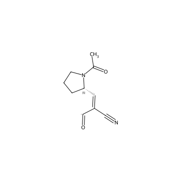 CC(=O)N1CCC[C@H]1C=C([C]=O)C#N